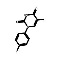 Cc1cn(-c2ccc(F)cc2)c(=O)[nH]c1=O